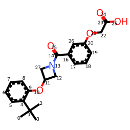 CC(C)(C)c1ccccc1OC1CN(C(=O)c2cccc(OCC(=O)O)c2)C1